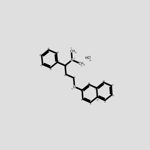 CN(C)C(CCOc1ccc2ccccc2c1)c1ccccc1.Cl